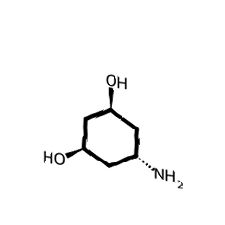 N[C@@H]1C[C@@H](O)C[C@@H](O)C1